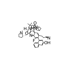 CN1CCC[C@H]1COc1nc2c(F)c(-c3cc(O)cc4ccccc34)c(CCC#N)cc2c(NC2C3CC2N(C(=O)OC(C)(C)C)C3)c1N